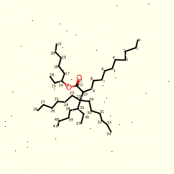 CCCCCCCCCCC(C(=O)OC(CC)CCCCC)C(CCCCCC)(CCCCCC)C(CC)CCCC